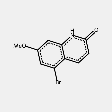 COc1cc(Br)c2ccc(=O)[nH]c2c1